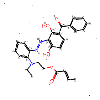 CC=CC(=O)OCCN(CC)c1ccccc1N=Nc1c(O)ccc(C(=O)c2ccccc2)c1O